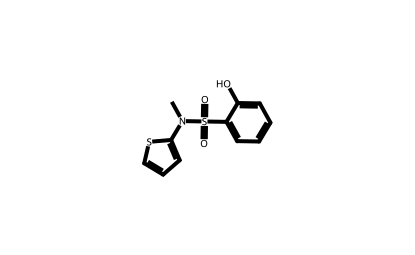 CN(c1cccs1)S(=O)(=O)c1ccccc1O